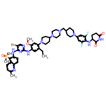 CCc1cc(Nc2ncc(Br)c(Nc3ccc4nc(C)ccc4c3P(C)(C)=O)n2)c(OC)cc1N1CCC(N2CCN(CC3CCN(c4cc(F)c(NC5CCC(=O)NC5=O)c(F)c4)CC3)CC2)CC1